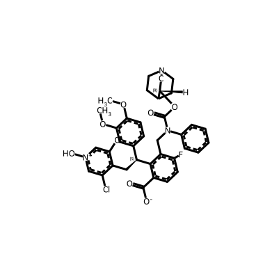 COc1ccc([C@H](Cc2c(Cl)c[n+](O)cc2Cl)c2c(C(=O)[O-])ccc(F)c2CN(C(=O)O[C@H]2CN3CCC2CC3)c2ccccc2)cc1OC